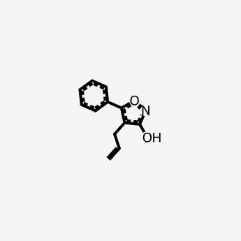 C=CCc1c(O)noc1-c1ccccc1